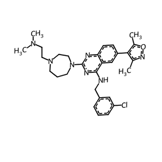 Cc1noc(C)c1-c1ccc2nc(N3CCCN(CCN(C)C)CC3)nc(NCc3cccc(Cl)c3)c2c1